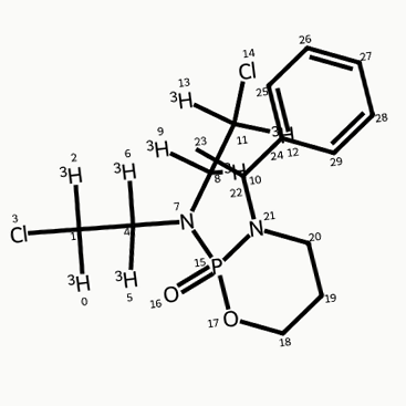 [3H]C([3H])(Cl)C([3H])([3H])N(C([3H])([3H])C([3H])([3H])Cl)P1(=O)OCCCN1C(C)c1ccccc1